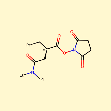 CCN(C(=O)C[C@@H](CC(C)C)C(=O)ON1C(=O)CCC1=O)C(C)C